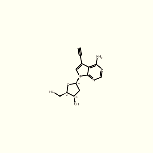 C#Cc1cn([C@H]2C[C@@H](O)[C@@H](CO)O2)c2ncnc(N)c12